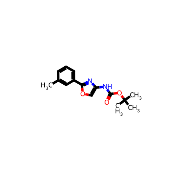 Cc1cccc(-c2nc(NC(=O)OC(C)(C)C)co2)c1